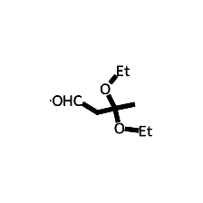 CCOC(C)(C[C]=O)OCC